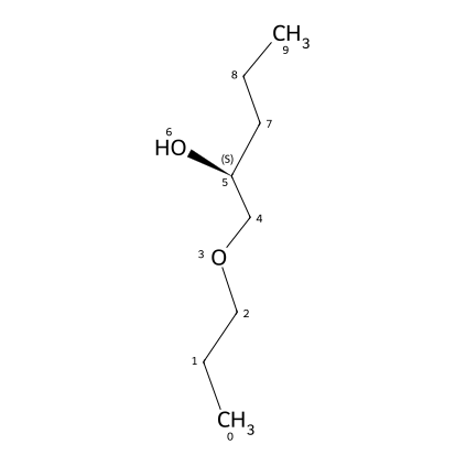 CCCOC[C@@H](O)CCC